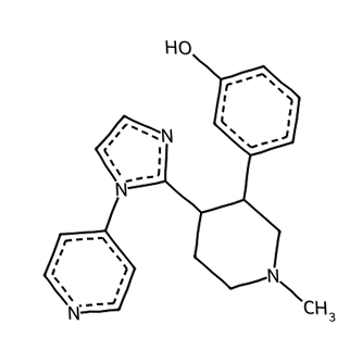 CN1CCC(c2nccn2-c2ccncc2)C(c2cccc(O)c2)C1